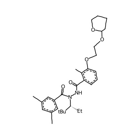 CC[C@@H](N(NC(=O)c1cccc(OCCOC2CCCCO2)c1C)C(=O)c1cc(C)cc(C)c1)C(C)(C)C